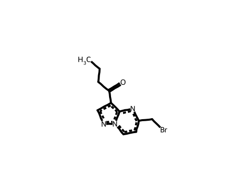 CCCC(=O)c1cnn2ccc(CBr)nc12